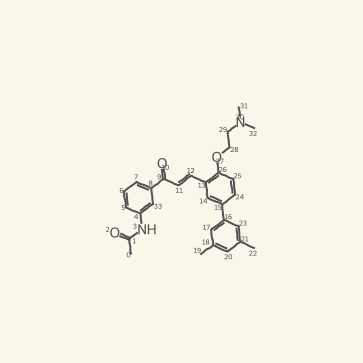 CC(=O)Nc1cccc(C(=O)/C=C/c2cc(-c3cc(C)cc(C)c3)ccc2OCCN(C)C)c1